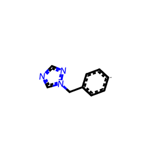 [c]1ccc(Cn2cncn2)cc1